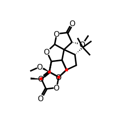 CO[C@H]1C(=O)OC2OC34C(=O)OC5C[C@@H](C(C)(C)C)C21C53CC1OC(=O)[C@@H](C)[C@@]14OC